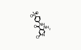 CS(=O)(=O)c1ccc(NC(=O)c2cc(Cl)ncc2N)cc1